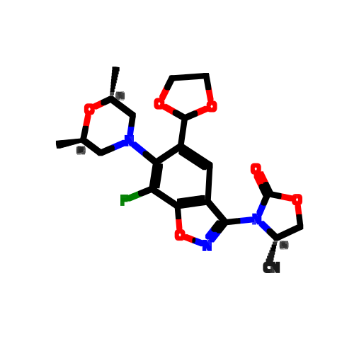 C[C@@H]1CN(c2c(C3OCCO3)cc3c(N4C(=O)OC[C@@H]4C#N)noc3c2F)C[C@@H](C)O1